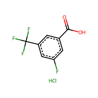 Cl.O=C(O)c1cc(F)cc(C(F)(F)F)c1